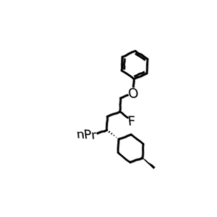 CCCC(CC(F)COc1ccccc1)[C@H]1CC[C@H](C)CC1